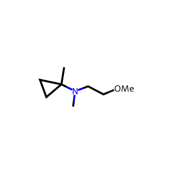 COCCN(C)C1(C)CC1